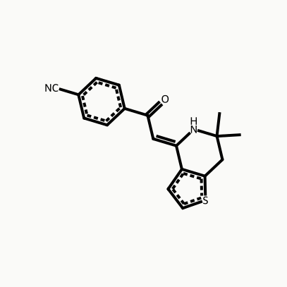 CC1(C)Cc2sccc2/C(=C/C(=O)c2ccc(C#N)cc2)N1